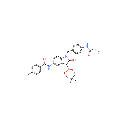 CC1(C)COC(C2C(=O)N(Cc3ccc(NC(=O)CCl)cc3)c3ccc(NC(=O)c4ccc(Cl)cc4)cc32)OC1